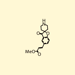 COC(=O)C=Cc1ccc2c(c1)C(=O)C1(CCNCC1)O2